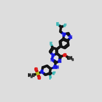 COc1nc(N[C@@H]2CCN(S(C)(=O)=O)CC2(F)F)nn2cc(F)c(-c3ccc4ncn(CC(F)F)c4c3)c12